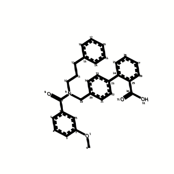 COc1cccc(C(=O)N(CCCc2ccccc2)Cc2ccc(-c3ccccc3C(=O)O)cc2)c1